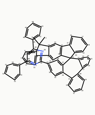 CC1(C)c2ccccc2-c2cc3c(cc21)-c1ccccc1C31c2ccccc2-c2ccccc2-c2ccc(-c3nc(-c4ccccc4)cc(-c4ccccc4)n3)cc21